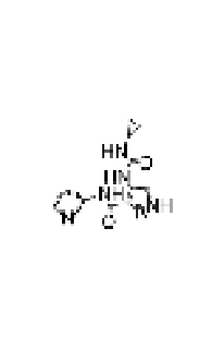 O=C(Nc1c[nH]nc1C(=O)Nc1cccnc1)NC1CC1